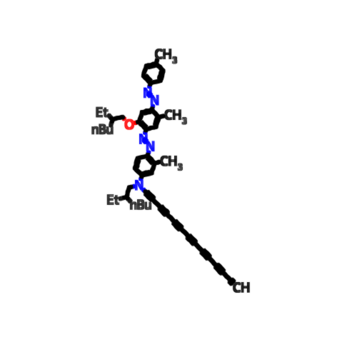 C#CC#CC#CC#CC#CC#CC#CN(CC(CC)CCCC)c1ccc(/N=N/c2cc(C)c(/N=N/c3ccc(C)cc3)cc2OCC(CC)CCCC)c(C)c1